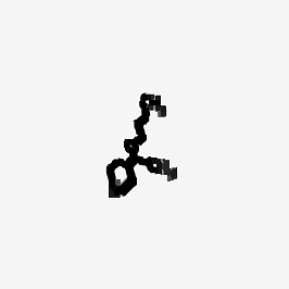 CCCCOC(C)C1CC[N]CC1